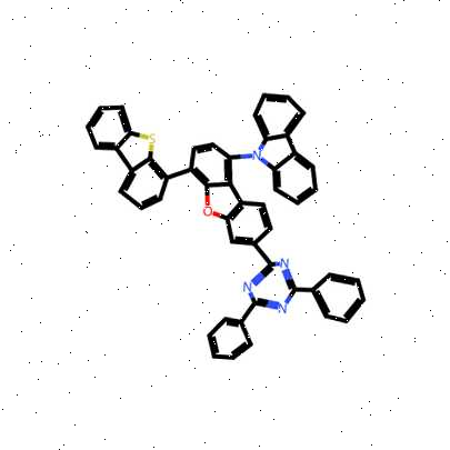 c1ccc(-c2nc(-c3ccccc3)nc(-c3ccc4c(c3)oc3c(-c5cccc6c5sc5ccccc56)ccc(-n5c6ccccc6c6ccccc65)c34)n2)cc1